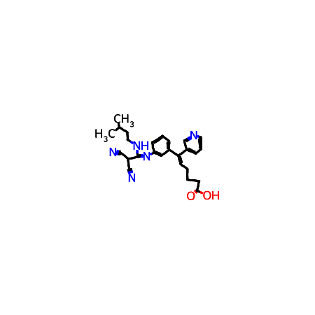 CC(C)CCNC(=Nc1cccc(C(=CCCCC(=O)O)c2cccnc2)c1)C(C#N)C#N